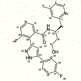 Cc1ccnc(C[C@@H](CCO)NC(=O)c2cccc(F)c2-c2cc(-c3ccc(F)cc3)[nH]n2)c1